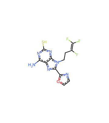 Nc1nc(S)nc2c1nc(-c1ncco1)n2CCC(F)=C(F)F